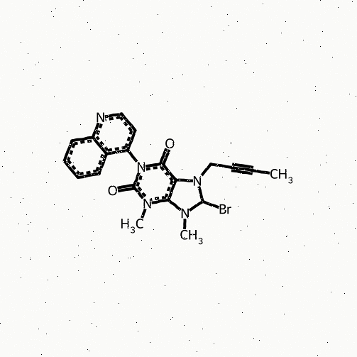 CC#CCN1c2c(n(C)c(=O)n(-c3ccnc4ccccc34)c2=O)N(C)C1Br